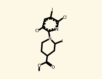 COC(=O)C1CCN(c2nc(Cl)c(I)cc2Cl)C(I)C1